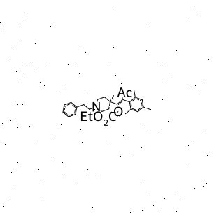 CCOC(=O)O/C(=C(/C(C)=O)c1c(C)cc(C)cc1C)C1(C)CCN(CCc2ccccc2)CC1